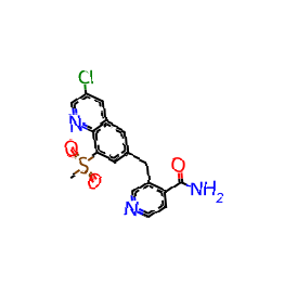 CS(=O)(=O)c1cc(Cc2cnccc2C(N)=O)cc2cc(Cl)cnc12